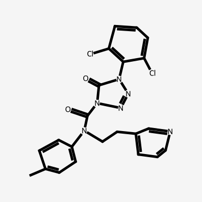 Cc1ccc(N(CCc2cccnc2)C(=O)n2nnn(-c3c(Cl)cccc3Cl)c2=O)cc1